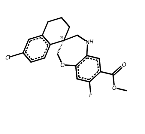 COC(=O)c1cc2c(cc1F)OC[C@]1(CCCc3cc(Cl)ccc31)CN2